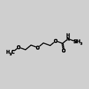 COCCOCCOC(=O)N[SiH3]